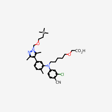 Cc1ccc(-c2c(C)nn(COCC[Si](C)(C)C)c2C)cc1N(CCCCCOCC(=O)O)c1ccc(C#N)c(Cl)c1